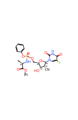 CC(C)OC(=O)[C@@H](C)N[P@@](=O)(OC[C@H]1O[C@@H](n2cc(F)c(=O)[nH]c2=O)[C@H](C#N)[C@@H]1O)Oc1ccccc1